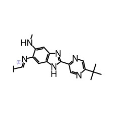 CNc1cc2nc(-c3cnc(C(C)(C)C)cn3)[nH]c2cc1/N=C/I